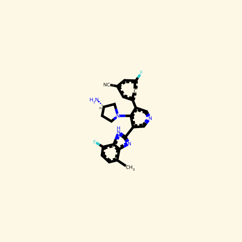 Cc1ccc(F)c2[nH]c(-c3cncc(-c4cc(F)cc(C#N)c4)c3N3CC[C@H](N)C3)nc12